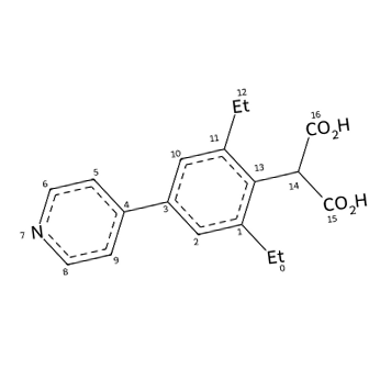 CCc1cc(-c2ccncc2)cc(CC)c1C(C(=O)O)C(=O)O